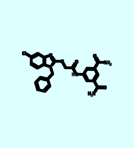 NC(=O)c1cc(NC(=O)COc2nc3cc(Cl)ccc3n2Cc2ccccc2)cc(C(N)=O)c1